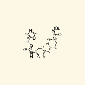 CC(C)(C)OC(=O)N1CCC(Cc2ccc(NC(=O)OCc3cnco3)cc2)CC1